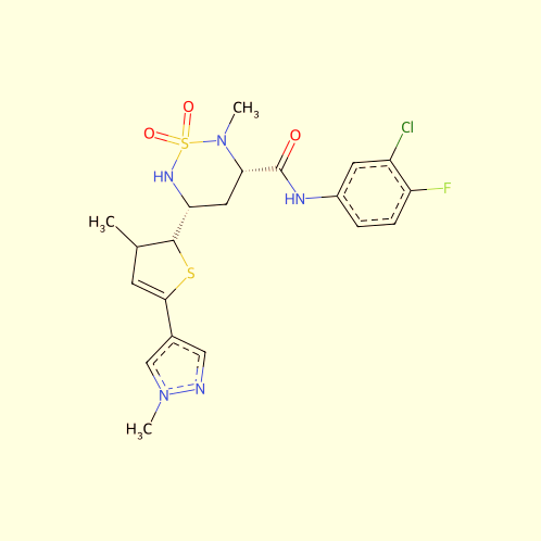 CC1C=C(c2cnn(C)c2)SC1[C@H]1C[C@@H](C(=O)Nc2ccc(F)c(Cl)c2)N(C)S(=O)(=O)N1